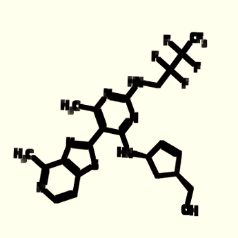 Cc1nc(NCC(F)(F)C(F)(F)C(F)(F)F)nc(N[C@H]2C=C[C@@H](CO)C2)c1-c1nc2c(C)nccc2s1